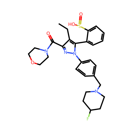 CCc1c(C(=O)N2CCOCC2)nn(-c2ccc(CN3CCC(F)CC3)cc2)c1-c1ccccc1S(=O)O